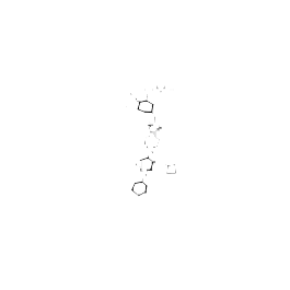 COc1cc(CS(=O)(=O)N2CCN(c3cnn(-c4cccc(Cl)c4)c(=O)c3OC3CCC3)CC2)ccc1[N+](=O)[O-]